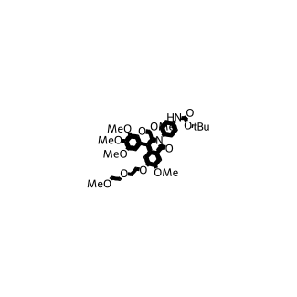 COCCOCCOc1cc2c(-c3cc(OC)c(OC)c(OC)c3)c(C(=O)OC)n(-c3ccc(NC(=O)OC(C)(C)C)cc3)c(=O)c2cc1OC